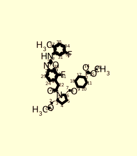 COC[C@H]1CC[C@@H](CO[C@H]2CC[C@@H](C(=O)OC)CC2)N1C(=O)Cc1ccc2nc(Nc3cc(F)ccc3C)oc2c1F